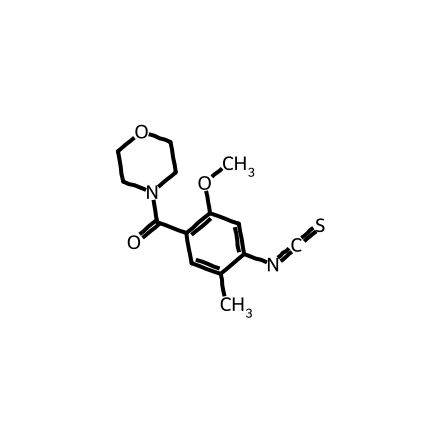 COc1cc(N=C=S)c(C)cc1C(=O)N1CCOCC1